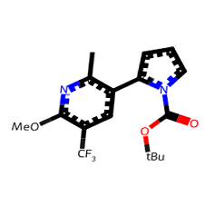 COc1nc(C)c(-c2cccn2C(=O)OC(C)(C)C)cc1C(F)(F)F